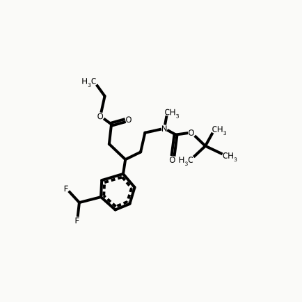 CCOC(=O)CC(CCN(C)C(=O)OC(C)(C)C)c1cccc(C(F)F)c1